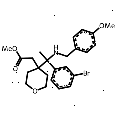 COC(=O)CC1(C(C)(NCc2ccc(OC)cc2)c2cccc(Br)c2)CCOCC1